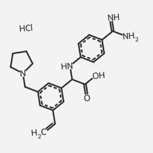 C=Cc1cc(CN2CCCC2)cc(C(Nc2ccc(C(=N)N)cc2)C(=O)O)c1.Cl